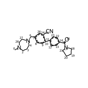 CN1CCCN(Cc2ccc(-c3ccc(C(=O)N4CCCC4)cc3)c(C#N)c2)CC1